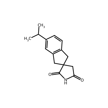 CC(C)c1ccc2c(c1)CC1(CC(=O)NC1=O)C2